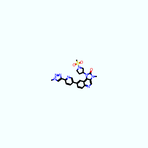 Cn1cc(-c2ccc(-c3ccc4ncc5c(c4c3)n(C3CCN(S(C)(=O)=O)C3)c(=O)n5C)cn2)nn1